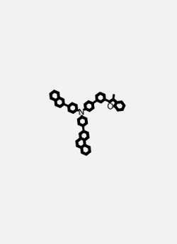 Cc1c(-c2cccc(-c3ccc(N(c4ccc(-c5ccc6ccccc6c5)cc4)c4ccc(-c5ccc6c(ccc7ccccc76)c5)cc4)cc3)c2)oc2ccccc12